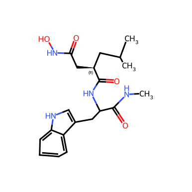 CNC(=O)C(Cc1c[nH]c2ccccc12)NC(=O)[C@@H](CC(=O)NO)CC(C)C